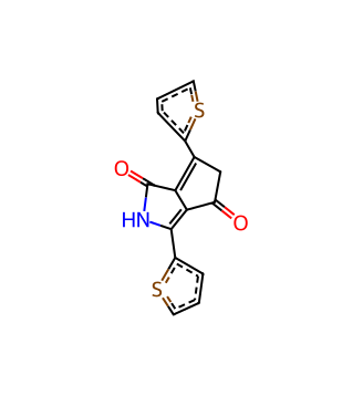 O=C1CC(c2cccs2)=C2C(=O)NC(c3cccs3)=C12